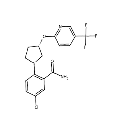 NC(=O)c1cc(Cl)ccc1N1CC[C@H](Oc2ccc(C(F)(F)F)cn2)C1